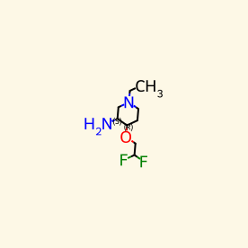 CCN1CC[C@@H](OCC(F)F)[C@@H](N)C1